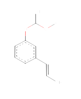 CC=Cc1cccc(OC(C)OCC)c1